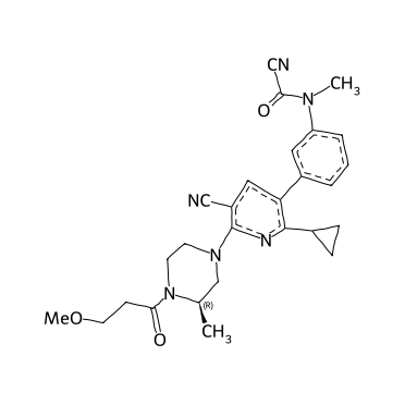 COCCC(=O)N1CCN(c2nc(C3CC3)c(-c3cccc(N(C)C(=O)C#N)c3)cc2C#N)C[C@H]1C